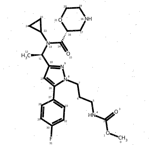 COC(=O)NCCCn1nc([C@@H](C)N(C(=O)[C@H]2CNCCO2)C2CC2)cc1-c1ccc(F)cc1